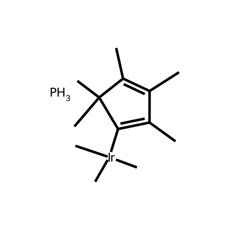 CC1=C(C)C(C)(C)[C]([Ir]([CH3])([CH3])[CH3])=C1C.P